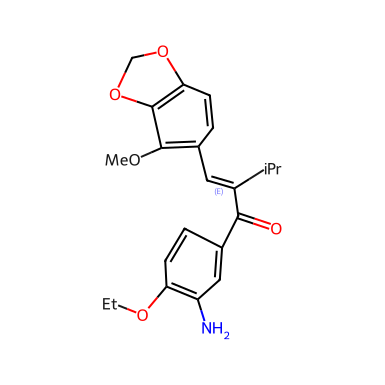 CCOc1ccc(C(=O)/C(=C/c2ccc3c(c2OC)OCO3)C(C)C)cc1N